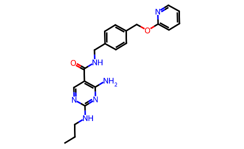 CCCNc1ncc(C(=O)NCc2ccc(COc3ccccn3)cc2)c(N)n1